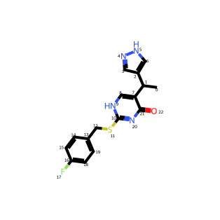 CC(c1cn[nH]c1)c1c[nH]c(SCc2ccc(F)cc2)nc1=O